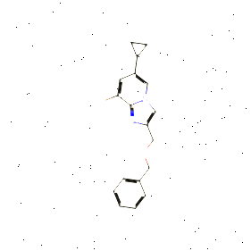 Brc1cc(C2CC2)cn2cc(COCc3ccccc3)nc12